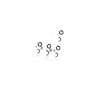 CCCCN1CC(CC(=O)NO)Sc2ccccc21.CCCN1CC(CC(=O)NO)S(=O)(=O)c2ccccc21.CCCN1CC(CC(=O)NO)Sc2ccccc21.CCN1CC(CC(=O)NO)S(=O)(=O)c2ccccc21